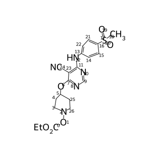 CCOC(=O)ON1CCC(Oc2ncnc(Nc3ccc(S(C)(=O)=O)cc3)c2C#N)CC1